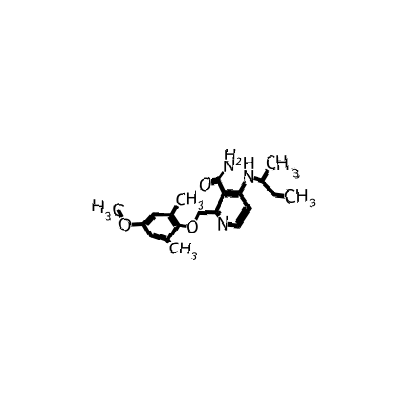 CCC(C)Nc1ccnc(COc2c(C)cc(OC)cc2C)c1C(N)=O